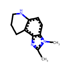 Cc1nc2c3c(ccc2n1C)NCCC3